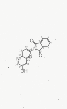 O=C1c2ccccc2C(=O)N1c1ccc2ncc(O)cc2n1